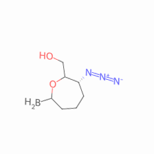 BC1CCC[C@@H](N=[N+]=[N-])C(CO)O1